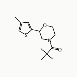 Cc1csc(C2CN(C(=O)C(C)(C)C)CCO2)c1